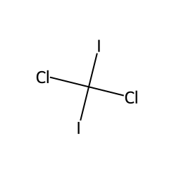 ClC(Cl)(I)I